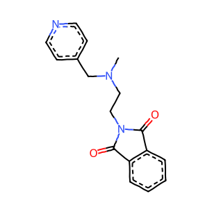 CN(CCN1C(=O)c2ccccc2C1=O)Cc1ccncc1